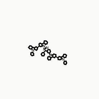 c1ccc(-c2nc(-n3c4ccccc4c4ccc(-c5ccc6c(c5)c5ccccc5n6-c5ccccc5)cc43)nc3ccc(-n4c5ccccc5c5cc(-c6ccc7c(c6)c6ccccc6n7-c6ccccc6)ccc54)cc23)cc1